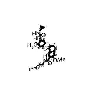 COc1cc2nccc(Oc3ccc(NC(=O)NC4CC4)c(C)c3)c2cc1C(=O)NCCOC(C)C